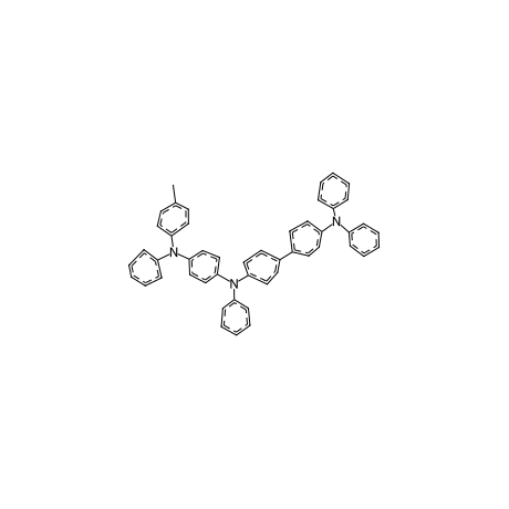 Cc1ccc(N(c2ccccc2)c2ccc(N(c3ccccc3)c3ccc(-c4ccc(N(c5ccccc5)c5ccccc5)cc4)cc3)cc2)cc1